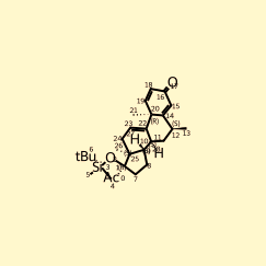 CC(=O)[C@@]1(O[Si](C)(C)C(C)(C)C)CC[C@H]2[C@@H]3C[C@H](C)C4=CC(=O)C=C[C@]4(C)C3=CC[C@@]21C